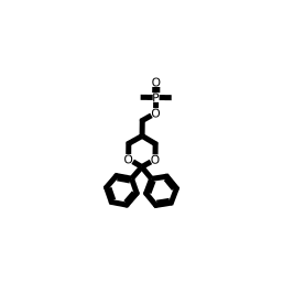 CP(C)(=O)OCC1COC(c2ccccc2)(c2ccccc2)OC1